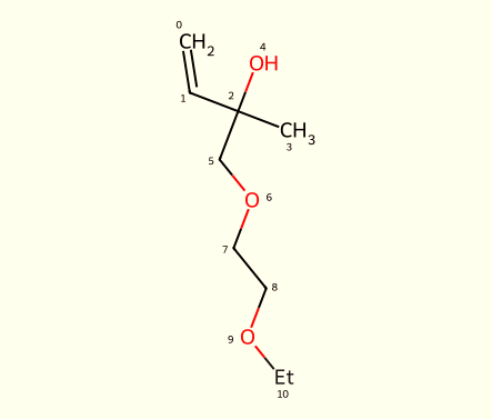 C=CC(C)(O)COCCOCC